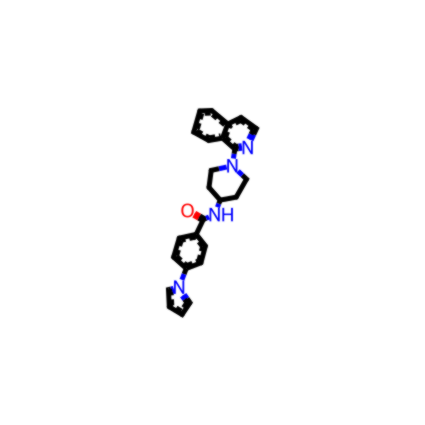 O=C(NC1CCN(c2nccc3ccccc23)CC1)c1ccc(-n2cccc2)cc1